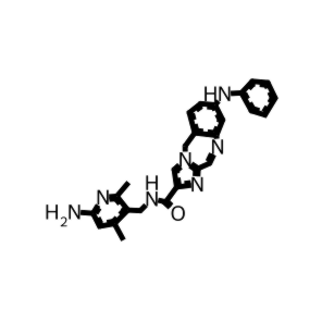 Cc1cc(N)nc(C)c1CNC(=O)c1cn2c(n1)C=Nc1cc(Nc3ccccc3)ccc1C2